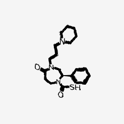 O=C1CCN(C(=O)S)[C@H](c2ccccc2)CN1CCCN1CCCCC1